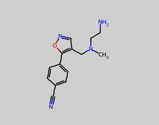 CN(CCN)Cc1cnoc1-c1ccc(C#N)cc1